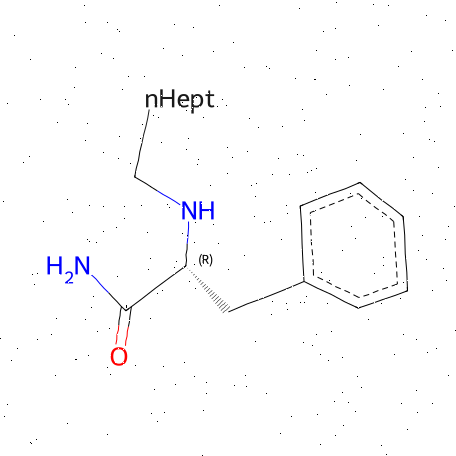 CCCCCCCCN[C@H](Cc1ccccc1)C(N)=O